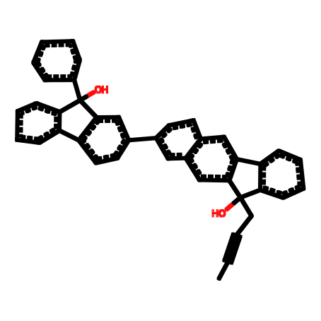 CC#CCC1(O)c2ccccc2-c2cc3ccc(-c4ccc5c(c4)C(O)(c4ccccc4)c4ccccc4-5)cc3cc21